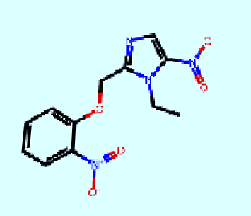 CCn1c([N+](=O)[O-])cnc1COc1ccccc1[N+](=O)[O-]